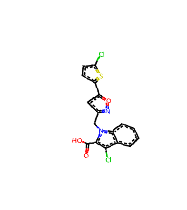 O=C(O)c1c(Cl)c2ccccc2n1Cc1cc(-c2ccc(Cl)s2)on1